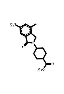 COC(=O)C1CCC(N2Cc3c(C)cc([N+](=O)[O-])cc3C2=O)CC1